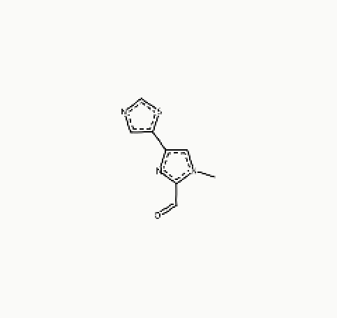 Cn1cc(-c2cncs2)nc1C=O